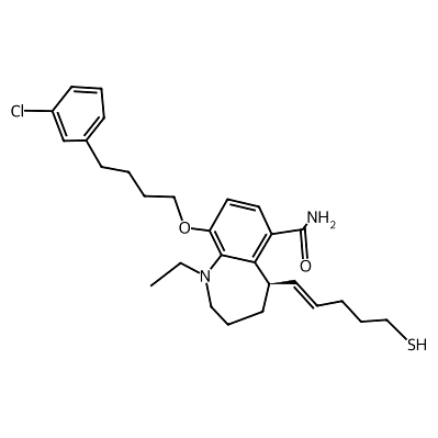 CCN1CCC[C@H](/C=C/CCCS)c2c(C(N)=O)ccc(OCCCCc3cccc(Cl)c3)c21